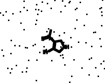 CC(=S)C1=C(C(C)C)CNC1